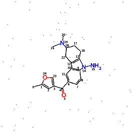 Cc1cc(C(=O)c2ccc3c(c2)c2c(n3N)CCC(N(C)C)C2)co1